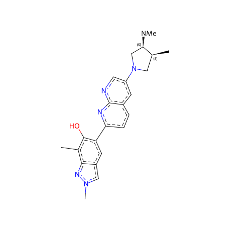 CN[C@@H]1CN(c2cnc3nc(-c4cc5cn(C)nc5c(C)c4O)ccc3c2)C[C@@H]1C